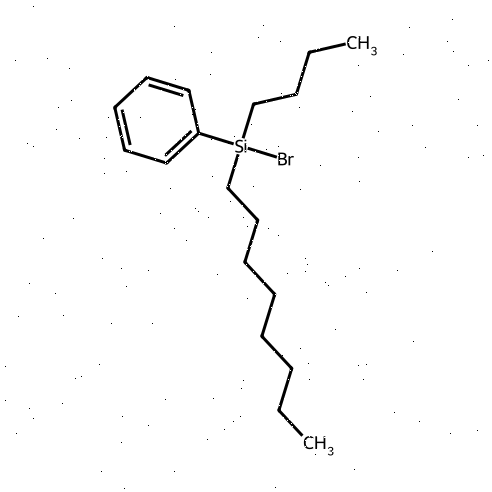 CCCCCCCC[Si](Br)(CCCC)c1ccccc1